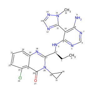 CC[C@H](Nc1ncnc(N)c1-c1ncnn1C)c1nc2cccc(Cl)c2c(=O)n1C1CC1